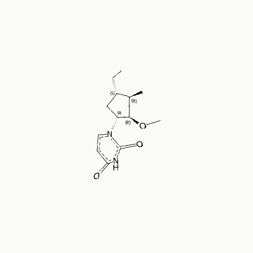 CC[C@H]1C[C@@H](n2ccc(=O)[nH]c2=O)[C@H](OC)[C@@H]1C